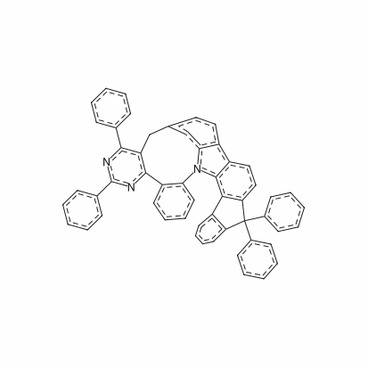 c1ccc(-c2nc(-c3ccccc3)c3c(n2)-c2ccccc2-n2c4cc(ccc4c4ccc5c(c42)-c2ccccc2C5(c2ccccc2)c2ccccc2)C3)cc1